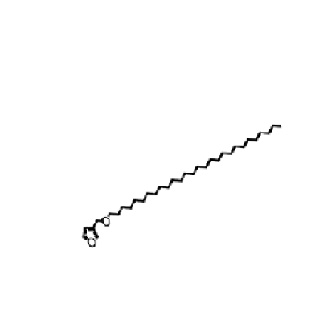 CCCCCCCCCCCCCCCCCCCCCCCCCCCCOCc1ccoc1